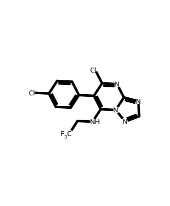 FC(F)(F)CNc1c(-c2ccc(Cl)cc2)c(Cl)nc2ncnn12